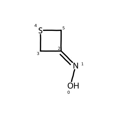 ON=C1CSC1